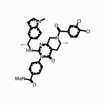 CNC(=O)c1ccc(-n2c(N[C@H](C)c3ccc4c(ccn4C)c3)nc3c(c2=O)C[C@@H](C)N(C(=O)c2ccc(Cl)c(Cl)c2)C3)cc1